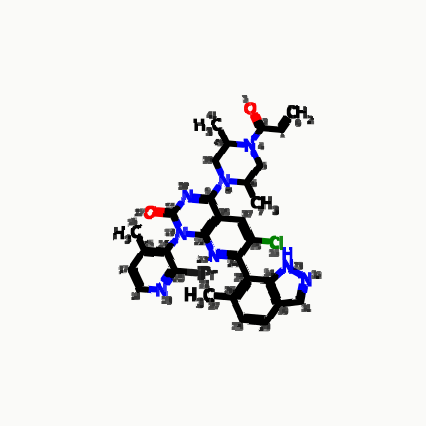 C=CC(=O)N1CC(C)N(c2nc(=O)n(-c3c(C)ccnc3C(C)C)c3nc(-c4c(C)ccc5cn[nH]c45)c(Cl)cc23)CC1C